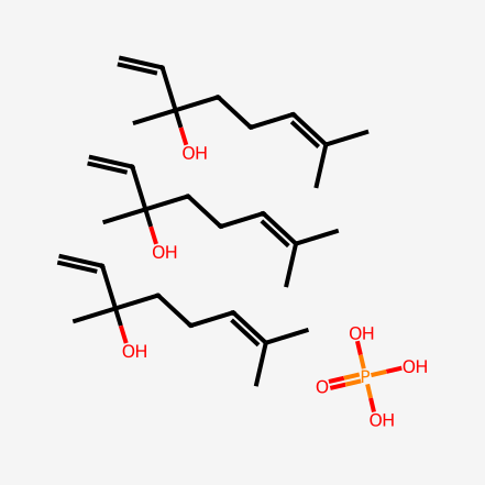 C=CC(C)(O)CCC=C(C)C.C=CC(C)(O)CCC=C(C)C.C=CC(C)(O)CCC=C(C)C.O=P(O)(O)O